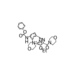 CCOc1c(C(=O)N2CCOCC2)nc2nc1[N+]1(CCOCC1)c1cc-2ccc1NC(=O)Oc1ccccc1